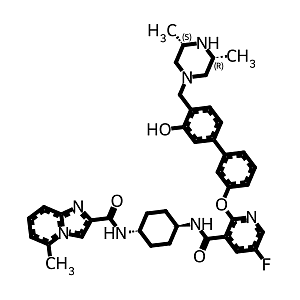 Cc1cccc2nc(C(=O)N[C@H]3CC[C@H](NC(=O)c4cc(F)cnc4Oc4cccc(-c5ccc(CN6C[C@@H](C)N[C@@H](C)C6)c(O)c5)c4)CC3)cn12